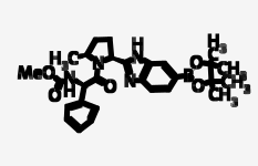 COC(=O)N[C@@H](C(=O)N1[C@@H](C)CC[C@H]1c1nc2ccc(B3OC(C)(C)C(C)(C)O3)cc2[nH]1)c1ccccc1